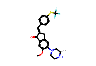 COc1cc2c(cc1N1CCN[C@@H](C)C1)C/C(=C\c1ccc(SC(F)(F)F)cc1)C2=O